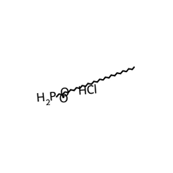 CCCCCCCCCCCCCCCCCCCCCCCCOC(=O)CCP.Cl